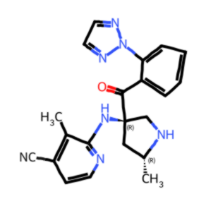 Cc1c(C#N)ccnc1N[C@@]1(C(=O)c2ccccc2-n2nccn2)CN[C@H](C)C1